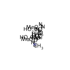 C/N=C/c1cncc(COc2cc(OCc3cccc(-c4cccc(COc5cc(OCc6cncc(C7C=N7)c6)c(CN[C@@H](COC)C(=O)O)cc5Cl)c4C)c3C)c(Cl)cc2CN[C@@H](COC)C(=O)O)c1